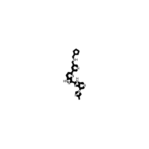 Cc1cn(-c2cncc3[nH]c(-c4n[nH]c5ccc(-c6cncc(CNCC7CCCC7)c6)nc45)nc23)cn1